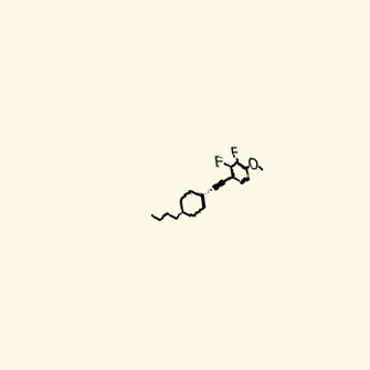 CCCC[C@H]1CC[C@H](C#Cc2ccc(OC)c(F)c2F)CC1